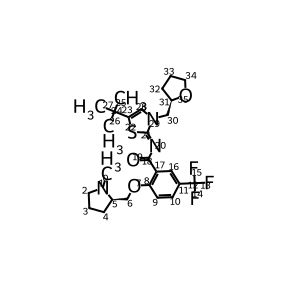 CN1CCC[C@@H]1COc1ccc(C(F)(F)F)cc1C(=O)N=c1sc(C(C)(C)C)cn1C[C@H]1CCCO1